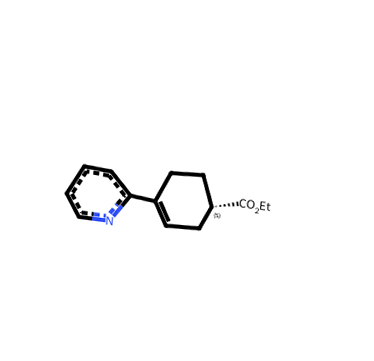 CCOC(=O)[C@@H]1CC=C(c2ccccn2)CC1